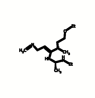 C=NC/C=C(\N[C@H](C)NCC)N(C)CCOCC